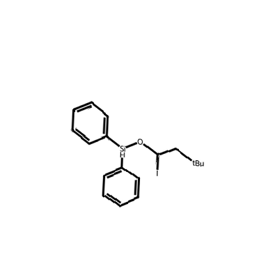 CC(C)(C)CC(I)O[SiH](c1ccccc1)c1ccccc1